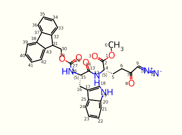 COC(=O)[C@H](CCC(=O)C=[N+]=[N-])NC(=O)[C@H](Cc1c[nH]c2ccccc12)NC(=O)OCC1c2ccccc2-c2ccccc21